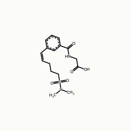 CN(C)S(=O)(=O)CCC/C=C\c1cccc(C(=O)NCC(=O)O)c1